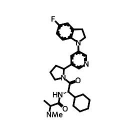 CNC(C)C(=O)N[C@H](C(=O)N1CCCC1c1cncc(N2CCc3cc(F)ccc32)c1)C1CCCCC1